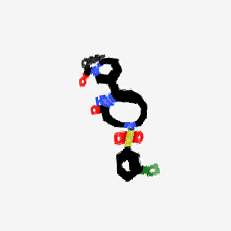 COC(=O)N1CCCC(C2=C=CCCCN(S(=O)(=O)c3cccc(Cl)c3)CCC(=O)N2)C1